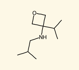 CC(C)CNC1(C(C)C)COC1